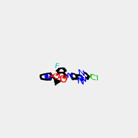 O=C(c1ccc(F)cc1OC1CC2CCC(C1)N2CC1CC1)N1Cc2nn3cc(Cl)cnc3c2C1